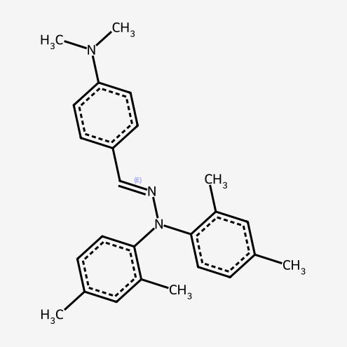 Cc1ccc(N(/N=C/c2ccc(N(C)C)cc2)c2ccc(C)cc2C)c(C)c1